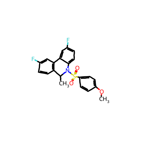 COc1ccc(S(=O)(=O)N2c3ccc(F)cc3-c3cc(F)ccc3C2C)cc1